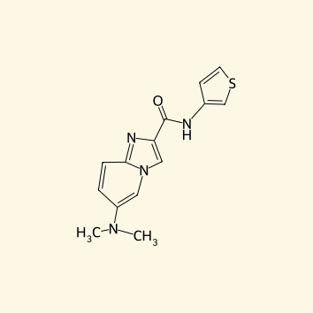 CN(C)c1ccc2nc(C(=O)Nc3ccsc3)cn2c1